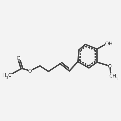 COc1cc(/C=C/CCOC(C)=O)ccc1O